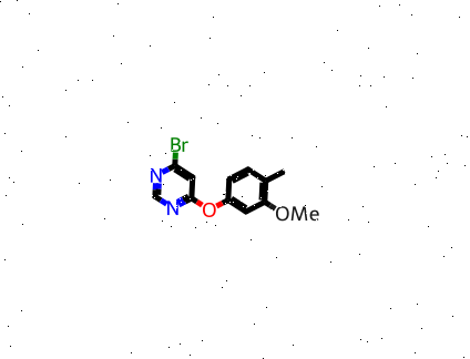 COc1cc(Oc2cc(Br)ncn2)ccc1C